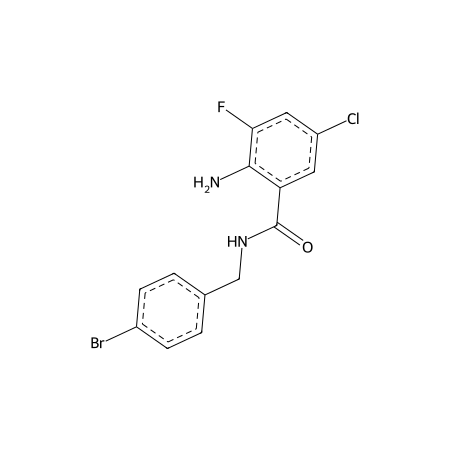 Nc1c(F)cc(Cl)cc1C(=O)NCc1ccc(Br)cc1